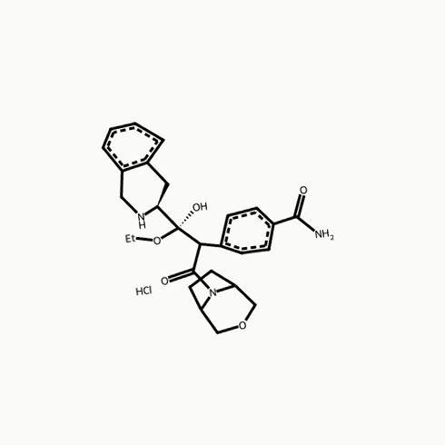 CCO[C@](O)(C(C(=O)N1C2CCC1COC2)c1ccc(C(N)=O)cc1)[C@@H]1Cc2ccccc2CN1.Cl